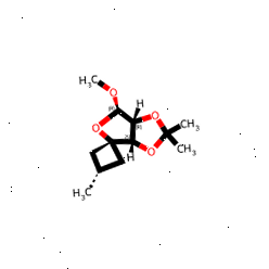 CO[C@@H]1O[C@]2(C[C@@H](C)C2)[C@H]2OC(C)(C)O[C@@H]12